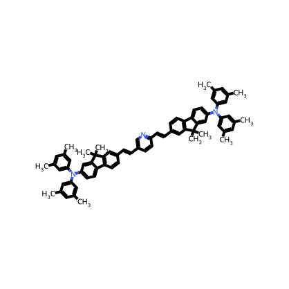 Cc1cc(C)cc(N(c2cc(C)cc(C)c2)c2ccc3c(c2)C(C)(C)c2cc(/C=C/c4ccc(/C=C/c5ccc6c(c5)C(C)(C)c5cc(N(c7cc(C)cc(C)c7)c7cc(C)cc(C)c7)ccc5-6)nc4)ccc2-3)c1